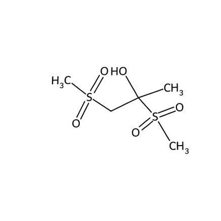 CC(O)(CS(C)(=O)=O)S(C)(=O)=O